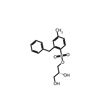 Cc1ccc(S(=O)(=O)OC[C@H](O)CO)c(Cc2ccccc2)c1